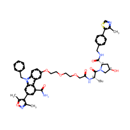 Cc1ncsc1-c1ccc(CNC(=O)[C@@H]2C[C@@H](O)CN2C(=O)[C@@H](NC(=O)COCCOCCOc2ccc3c(c2)c2c(C(N)=O)cc(-c4c(C)noc4C)cc2n3Cc2ccccc2)C(C)(C)C)cc1